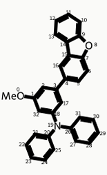 COc1cc(-c2ccc3oc4ccccc4c3c2)cc(N(c2ccccc2)c2ccccc2)c1